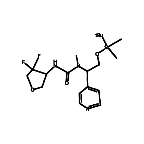 CN(C(=O)NC1COCC1(F)F)C(CO[Si](C)(C)C(C)(C)C)c1ccncc1